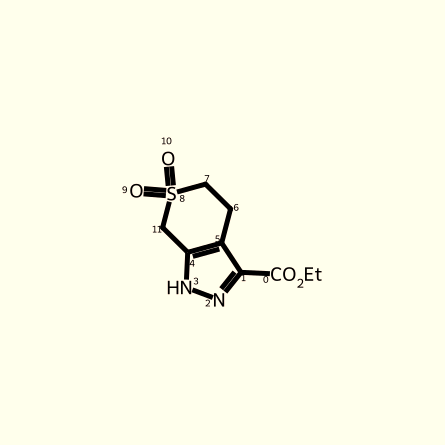 CCOC(=O)c1n[nH]c2c1CCS(=O)(=O)C2